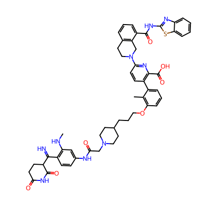 CNc1cc(NC(=O)CN2CCC(CCCOc3cccc(-c4ccc(N5CCc6cccc(C(=O)Nc7nc8ccccc8s7)c6C5)nc4C(=O)O)c3C)CC2)ccc1C(=N)C1CCC(=O)NC1=O